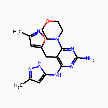 Cc1cc(Nc2nc(N)nc(N3CCOCC3)c2Cc2cc(C)no2)[nH]n1